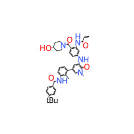 C=CC(=O)Nc1cc(Nc2cc(-c3cccc(NC(=O)c4ccc(C(C)(C)C)cc4)c3C)cn(C)c2=O)ccc1C(=O)N1CCC(O)CC1